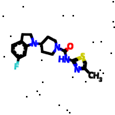 Cc1csc(NC(=O)N2CCC(N3CCc4ccc(F)cc43)CC2)n1